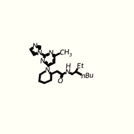 CCCCC(CC)CNC(=O)CC1CCCCN1c1cc(C)nc(-n2ccnc2)n1